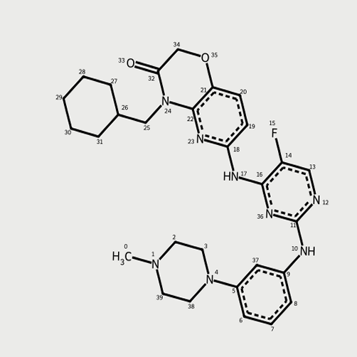 CN1CCN(c2cccc(Nc3ncc(F)c(Nc4ccc5c(n4)N(CC4CCCCC4)C(=O)CO5)n3)c2)CC1